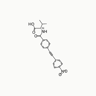 CC(C)[C@H](NC(=O)c1ccc(C#Cc2ccc([N+](=O)[O-])cc2)cc1)C(=O)O